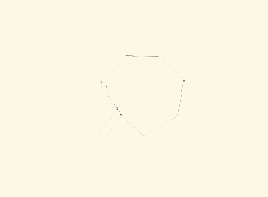 O=C1[CH]CCCC[N]1